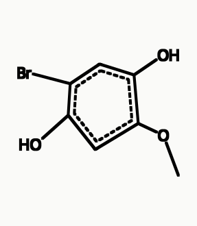 COc1cc(O)c(Br)cc1O